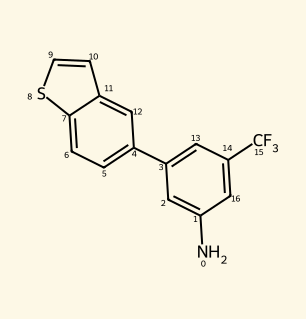 Nc1cc(-c2ccc3sccc3c2)cc(C(F)(F)F)c1